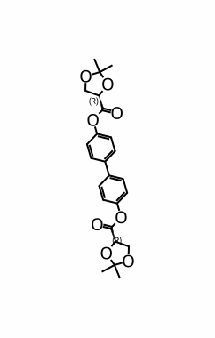 CC1(C)OC[C@H](C(=O)Oc2ccc(-c3ccc(OC(=O)[C@H]4COC(C)(C)O4)cc3)cc2)O1